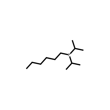 CCCCCCP(C(C)C)C(C)C